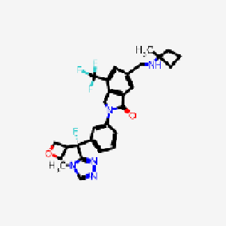 Cn1cnnc1[C@](F)(c1cccc(N2Cc3c(cc(CNC4(C)CCC4)cc3C(F)(F)F)C2=O)c1)C1COC1